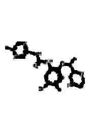 Cc1cnc(NC(=O)Nc2cc(Br)c(C)cc2OC(C)C2CNCCO2)cn1